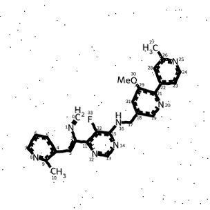 C=N/C(=C\c1cccnc1C)c1ncnc(NCc2cnc(-c3ccnc(C)c3)c(OC)c2)c1F